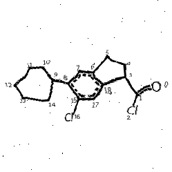 O=C(Cl)C1CCc2cc(C3CCCCC3)c(Cl)cc21